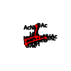 CC(=O)NC1C(OCCOCCOCCNC(=O)CN(CC(=O)NCCOCCOCCOC2OC(COC(C)=O)C(OC(C)=O)C(C)C2NC(C)=O)C(=O)CCC(NC(=O)[C@H]2CC[C@@H](O)CC2)C(=O)N(CC(=O)NCCOCCOCCOC2OC(COC(C)=O)C(C)C(C)C2NC(C)=O)CC(=O)NCCOCCOCCOC2OC(COC(C)=O)C(C)C(C)C2NC(C)=O)OC(COC(C)=O)C(C)C1C